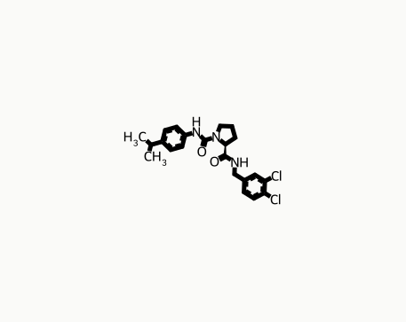 CC(C)c1ccc(NC(=O)N2CCC[C@H]2C(=O)NCc2ccc(Cl)c(Cl)c2)cc1